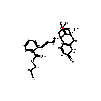 C/C=C1\[C@H]2C=C(C)C[C@]1(N=CC=Cc1ccccc1C(=O)OCCC)c1ccc(=O)[nH]c1C2